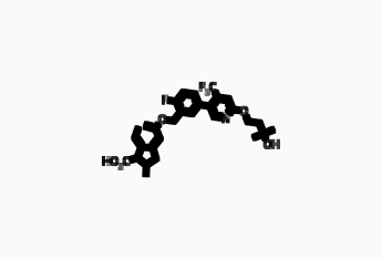 C=C(/C=C1/CC(C)C(C(=O)O)/C1=C/C)OCc1cc(-c2cnc(OCCC(C)(C)O)cc2C(F)(F)F)ccc1F